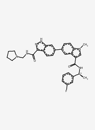 C[C@H](NC(=O)c1cn(C)c2ccc(-c3ccc4c(C(=O)NCN5CCCC5)n[nH]c4c3)cc12)c1cccc(F)c1